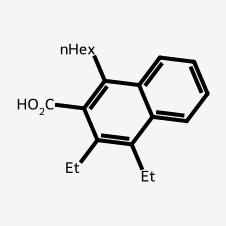 CCCCCCc1c(C(=O)O)c(CC)c(CC)c2ccccc12